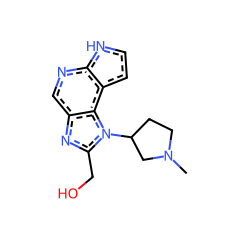 CN1CCC(n2c(CO)nc3cnc4[nH]ccc4c32)C1